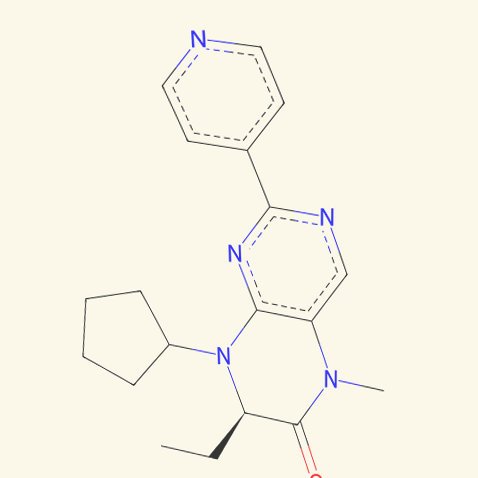 CC[C@@H]1C(=O)N(C)c2cnc(-c3ccncc3)nc2N1C1CCCC1